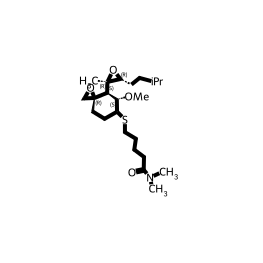 CO[C@@H]1C(SCCCCC(=O)N(C)C)CC[C@]2(CO2)[C@H]1[C@@]1(C)O[C@@H]1CCC(C)C